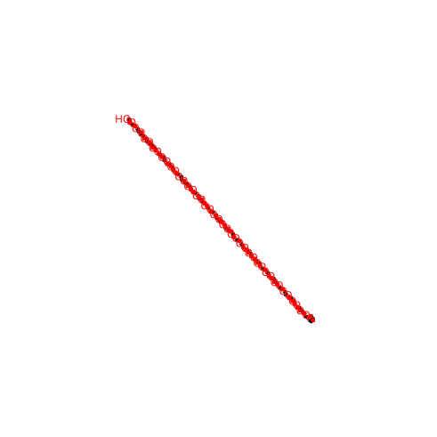 OCCOCCOCCOCCOCCOCCOCCOCCOCCOCCOCCOCCOCCOCCOCCOCCOCCOCCOCCOCCOCCOCCOCCOCCOCCOCCOCCOCCOCCOCCOCCOCCOCCOCCOCCOCCOCCOCCOCCOCCOCCOCC1CC2C=CC1C2